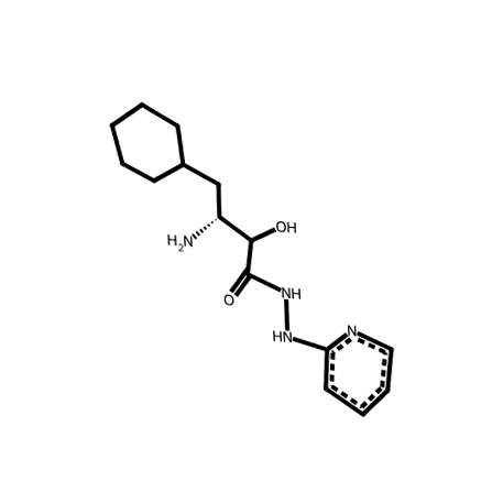 N[C@H](CC1CCCCC1)C(O)C(=O)NNc1ccccn1